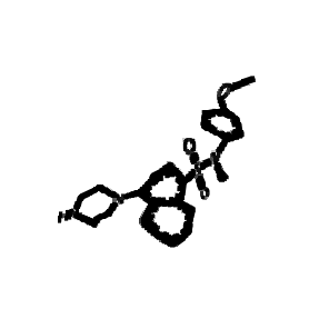 COc1ccc(N(C)S(=O)(=O)c2ccc(N3CCNCC3)c3ccccc23)cc1